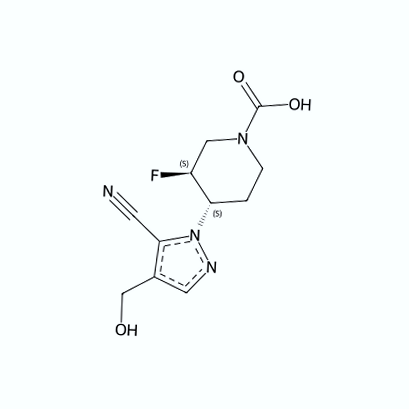 N#Cc1c(CO)cnn1[C@H]1CCN(C(=O)O)C[C@@H]1F